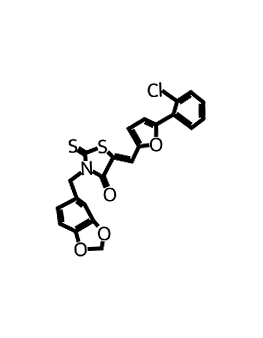 O=C1/C(=C/c2ccc(-c3ccccc3Cl)o2)SC(=S)N1Cc1ccc2c(c1)OCO2